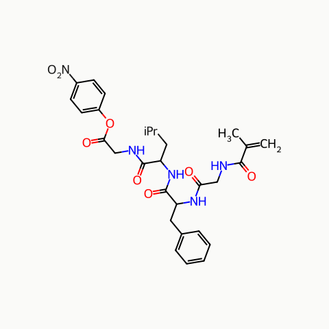 C=C(C)C(=O)NCC(=O)NC(Cc1ccccc1)C(=O)NC(CC(C)C)C(=O)NCC(=O)Oc1ccc([N+](=O)[O-])cc1